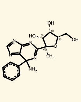 C[C@@]1(C2=NC(N)(c3ccccc3)C3=NC=NC3=N2)O[C@H](CO)[C@@H](O)[C@H]1O